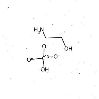 NCCO.[O-][Cl+3]([O-])([O-])O